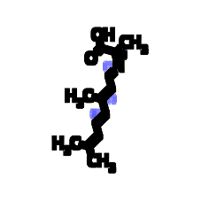 CC(C)=C/C=C/C(C)=C/C=N/[C@@H](C)C(=O)O